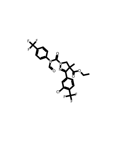 CCOC(=O)C1(C)CN(C(=O)N(C=O)c2ccc(C(F)(F)F)cc2)N=C1c1ccc(C(F)(F)F)c(Cl)c1